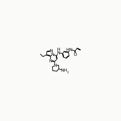 C=CC(=O)Nc1cccc(Nc2cc(N3CCCC(N)C3)nc3c(CC)cnn23)c1